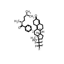 CN(C)CCN(C)C(=O)c1ccc([C@H]2C[C@@]3(C)[C@@H](CC[C@@]3(O)C(F)(F)C(F)(F)F)[C@@H]3CCC4=CC(=O)CCC4=C32)cc1